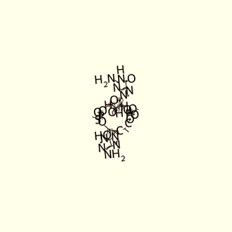 CO[C@H]1[C@H]2O[P@](=O)(OC)OCC(C)C[C@@H](n3cnc4c(N)ncnc43)[C@H](O)CO[P@@](=O)(SC)OC[C@H]1O[C@H]2n1cnc2c(=O)[nH]c(N)nc21